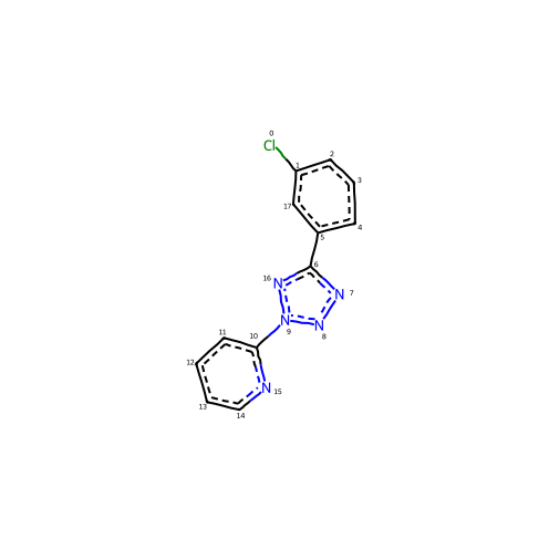 Clc1cccc(-c2nnn(-c3ccccn3)n2)c1